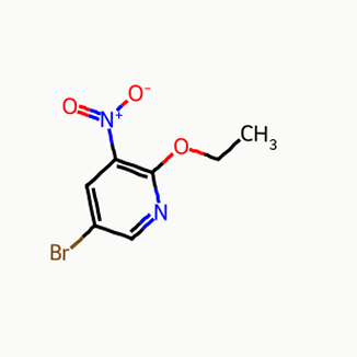 CCOc1ncc(Br)cc1[N+](=O)[O-]